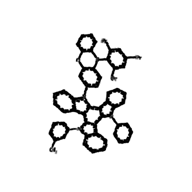 Cc1cccc(-n2c3ccccc3c3c4c(c5ccccc5n4-c4ccccc4)c4c(c5ccccc5n4-c4ccc5c(c4)Oc4ccccc4B5c4c(C(C)C)cc(C(C)C)cc4C(C)C)c32)c1